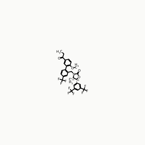 CCC(=O)c1ccc(OC)c(-c2ccc(C(F)(F)F)cc2CN2C(=O)O[C@H](c3cc(C(F)(F)F)cc(C(F)(F)F)c3)[C@@H]2C)c1